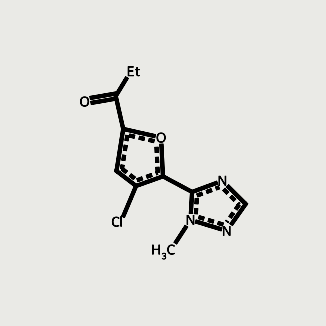 CCC(=O)c1cc(Cl)c(-c2ncnn2C)o1